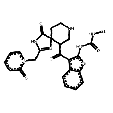 CCNC(=O)Nc1sc2ccccc2c1C(=O)C1CNCCC12N=C(Cn1ccccc1=O)NC2=O